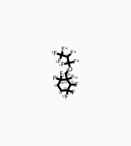 FC(C(F)(F)F)C(F)(F)OCC1(F)C(F)C(F)(F)CCC1(F)F